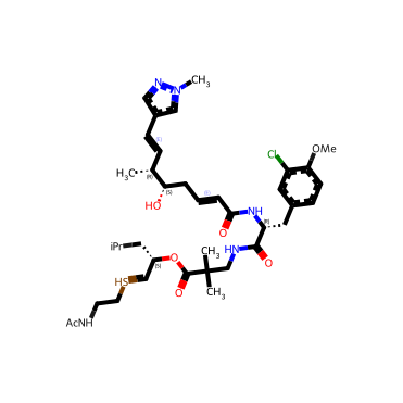 COc1ccc(C[C@@H](NC(=O)/C=C/C[C@H](O)[C@H](C)/C=C/c2cnn(C)c2)C(=O)NCC(C)(C)C(=O)O[C@H](C=[SH]CCNC(C)=O)CC(C)C)cc1Cl